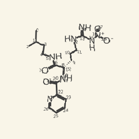 CC(C)C[CH]NC(=O)[C@H](CCCNC(=N)N[N+](=O)[O-])NC(=O)c1ccccn1